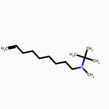 C=CCCCCCCCN(C)C(C)(C)C